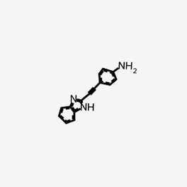 Nc1ccc(C#Cc2nc3ccccc3[nH]2)cc1